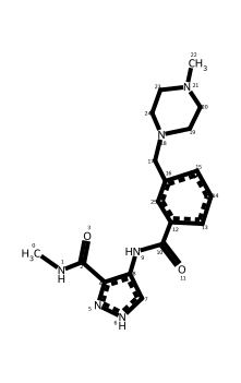 CNC(=O)c1n[nH]cc1NC(=O)c1cccc(CN2CCN(C)CC2)c1